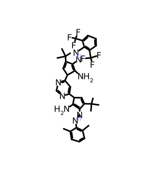 Cc1cccc(C)c1/N=N/C1=C(N)C(c2cc(C3C=C(C(C)(C)C)C(/N=N/c4c(C(F)(F)F)cccc4C(F)(F)F)=C3N)ncn2)C=C1C(C)(C)C